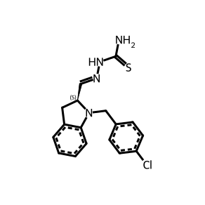 NC(=S)NN=C[C@@H]1Cc2ccccc2N1Cc1ccc(Cl)cc1